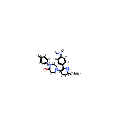 COc1ccc(N2CCC(=O)N(c3ccc(C)cc3)CC2)c(-c2ccc(N(C)C)cc2)n1